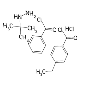 CC(C)(C)NN.CCc1ccc(C(=O)Cl)cc1.Cl.O=C(Cl)c1ccccc1